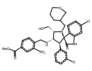 COC(=O)c1ccc(CN[C@@H]2[C@H](CO)N(CC3CCCOC3)[C@@]3(C(=O)Nc4cc(Cl)ccc43)[C@H]2c2cccc(Cl)c2)c([N+](=O)[O-])c1